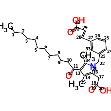 CCCCCCCCCCCC(=O)c1c(C)c(CC(=O)O)n(Cc2cccc(C=CC(=O)O)c2)c1C